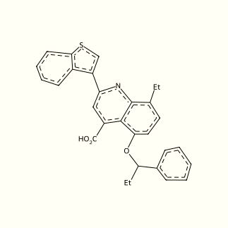 CCc1ccc(OC(CC)c2ccccc2)c2c(C(=O)O)cc(-c3csc4ccccc34)nc12